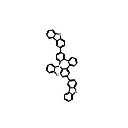 Clc1ccccc1N1c2ccc(-c3ccc4oc5ccccc5c4c3)cc2-c2ccccc2-c2cc(-c3ccc4oc5ccccc5c4c3)ccc21